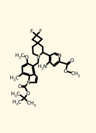 COC(=O)c1cc(N)c(C2CC3(CCN2Cc2c(OC)cc(C)c4c2ccn4C(=O)OC(C)(C)C)CC(F)(F)C3)cn1